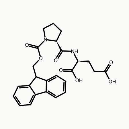 O=C(O)CC[C@H](NC(=O)[C@@H]1CCCN1C(=O)OCC1c2ccccc2-c2ccccc21)C(=O)O